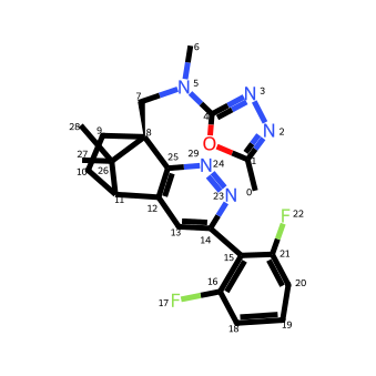 Cc1nnc(N(C)C[C@@]23CCC(c4cc(-c5c(F)cccc5F)nnc42)C3(C)C)o1